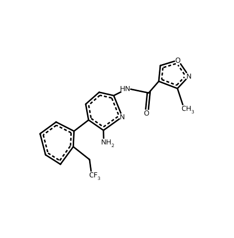 Cc1nocc1C(=O)Nc1ccc(-c2ccccc2CC(F)(F)F)c(N)n1